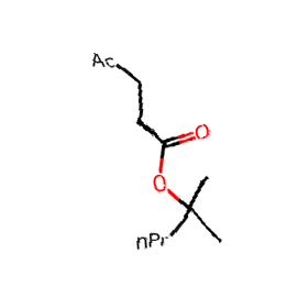 CCCC(C)(C)OC(=O)CCC(C)=O